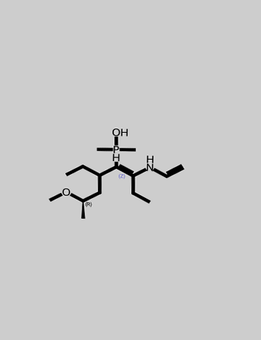 C=CN/C(CC)=C(/C(CC)C[C@@H](C)OC)[PH](C)(C)O